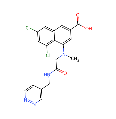 CN(CC(=O)NCc1ccnnc1)c1cc(C(=O)O)cc2cc(Cl)cc(Cl)c12